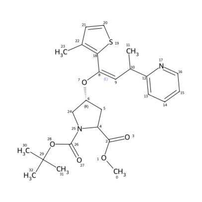 COC(=O)C1C[C@@H](O/C(=C/C(C)c2ccccn2)c2sccc2C)CN1C(=O)OC(C)(C)C